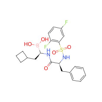 O=C(N[C@@H](CC1CCC1)B(O)O)[C@H](Cc1ccccc1)NS(=O)(=O)c1cc(F)ccc1F